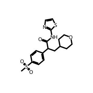 CS(=O)(=O)c1ccc(C(CC2CCOCC2)C(=O)Nc2nccs2)cc1